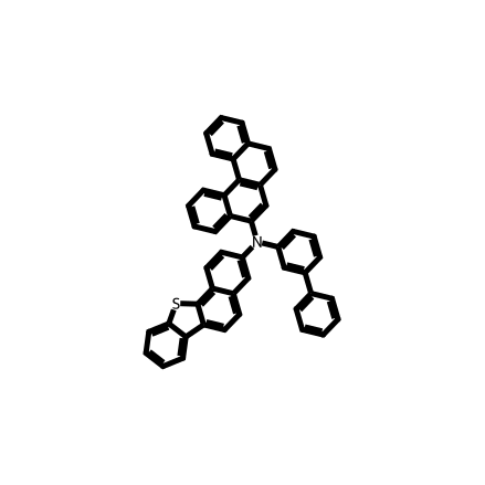 c1ccc(-c2cccc(N(c3ccc4c(ccc5c6ccccc6sc45)c3)c3cc4ccc5ccccc5c4c4ccccc34)c2)cc1